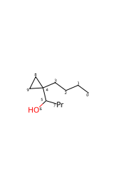 CCCCC1([CH](O)[Pr])CC1